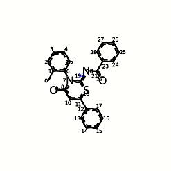 Cc1ccccc1-n1c(=O)cc(-c2ccccc2)s/c1=N\C(=O)c1ccccc1